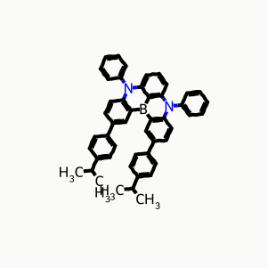 CC(C)c1ccc(-c2ccc3c(c2)B2c4cc(-c5ccc(C(C)C)cc5)ccc4N(c4ccccc4)c4cccc(c42)N3c2ccccc2)cc1